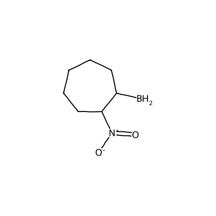 BC1CCCCCC1[N+](=O)[O-]